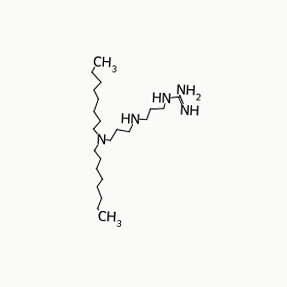 CCCCCCCCN(CCCCCCCC)CCCNCCCNC(=N)N